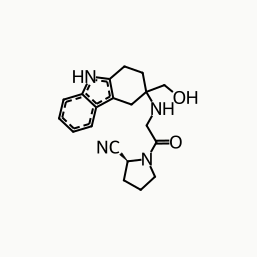 N#C[C@@H]1CCCN1C(=O)CNC1(CO)CCc2[nH]c3ccccc3c2C1